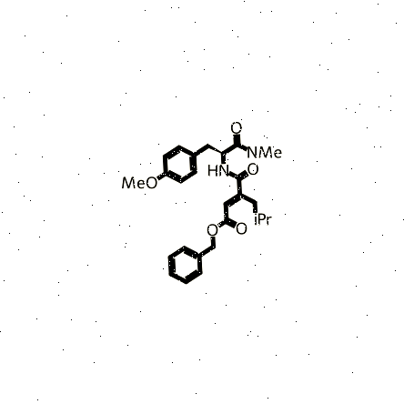 CNC(=O)[C@H](Cc1ccc(OC)cc1)NC(=O)C(=CC(=O)OCc1ccccc1)CC(C)C